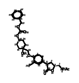 CC(=O)NC[C@H]1CN(c2ccc(OCC3(O)CCN(OC(=O)OCc4ccccc4)CC3)c(F)c2)C(=O)O1